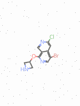 Clc1cc2c(Br)cnc(OC3CNC3)c2cn1